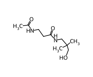 CC(=O)NCCC(=O)NCC(C)(C)CO